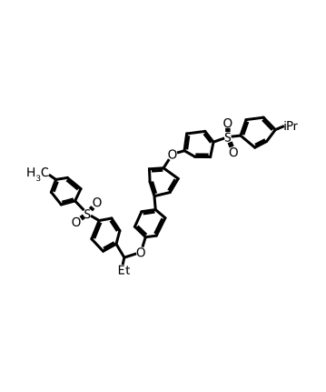 CCC(Oc1ccc(-c2ccc(Oc3ccc(S(=O)(=O)c4ccc(C(C)C)cc4)cc3)cc2)cc1)c1ccc(S(=O)(=O)c2ccc(C)cc2)cc1